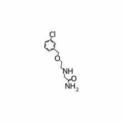 NC(=O)CNCCOCc1cccc(Cl)c1